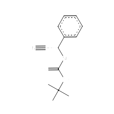 CC(C)(C)OC(=O)N[C@H](C#N)c1ccccc1